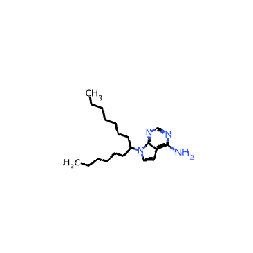 CCCCCCCC(CCCCCC)n1ccc2c(N)ncnc21